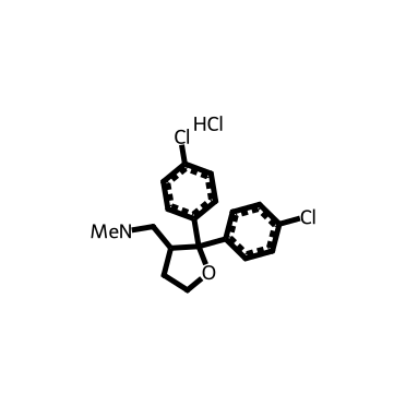 CNCC1CCOC1(c1ccc(Cl)cc1)c1ccc(Cl)cc1.Cl